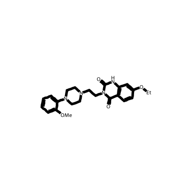 CCOc1ccc2c(=O)n(CCN3CCN(c4ccccc4OC)CC3)c(=O)[nH]c2c1